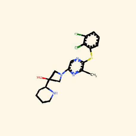 Cc1nc(N2CC(O)(C3CCCCN3)C2)cnc1Sc1cccc(Cl)c1Cl